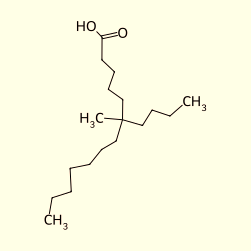 CCCCCCCC(C)(CCCC)CCCCC(=O)O